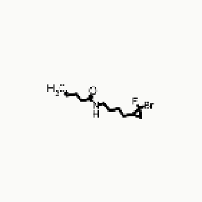 C=CCCC(=O)NCCCCC1CC1(F)Br